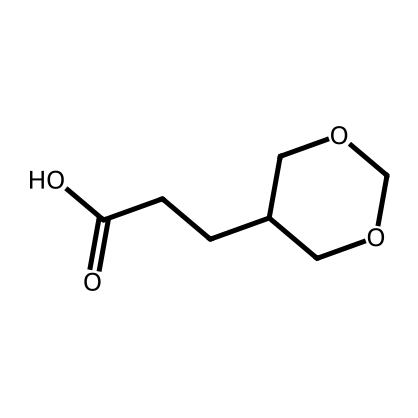 O=C(O)CCC1COCOC1